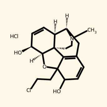 CN1CC[C@]23C4=C5C=CC(O)C4(CCCl)O[C@H]2[C@@H](O)C=C[C@H]3[C@H]1C5.Cl